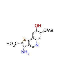 COc1cc2ncc3c(N)c(C(=O)O)sc3c2cc1O